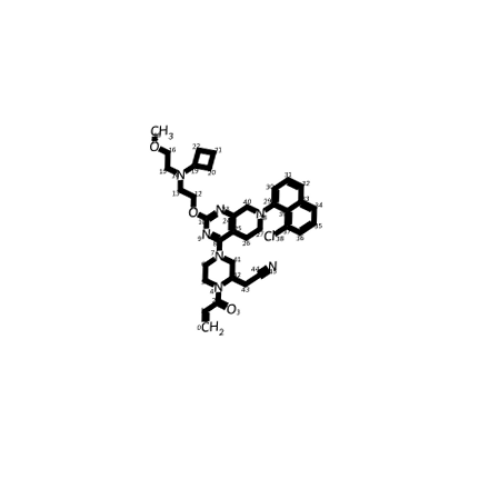 C=CC(=O)N1CCN(c2nc(OCCN(CCOC)C3CCC3)nc3c2CCN(c2cccc4cccc(Cl)c24)C3)CC1CC#N